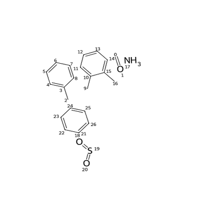 C=O.Cc1ccccc1.Cc1ccccc1C.N.O=S=O.c1ccccc1